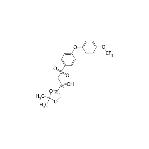 CC1(C)OC[C@@H]([C@H](O)CS(=O)(=O)c2ccc(Oc3ccc(OC(F)(F)F)cc3)cc2)O1